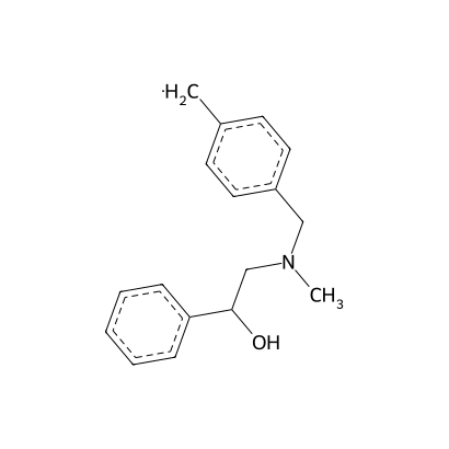 [CH2]c1ccc(CN(C)CC(O)c2ccccc2)cc1